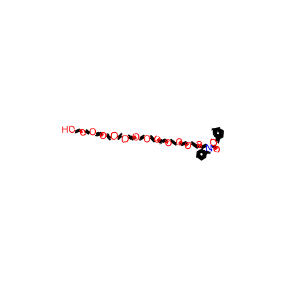 O=C(OCc1ccccc1)N(CCOCCOCCOCCOCCOCCOCCOCCOCCOCCOCCOCCOCCO)Cc1ccccc1